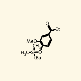 CCC(=O)c1ccc(O[Si](C)(C)C(C)(C)C)c(OC)c1